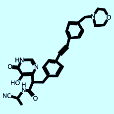 CC(C#N)NC(=O)C(Cc1ccc(C#Cc2ccc(CN3CCOCC3)cc2)cc1)c1nc[nH]c(=O)c1O